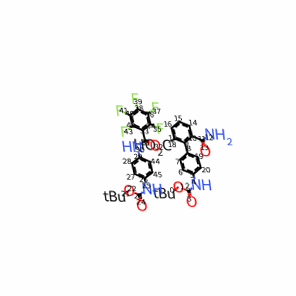 CC(C)(C)OC(=O)Nc1ccc(-c2c(C(N)=O)cccc2C(=O)O)cc1.CC(C)(C)OC(=O)Nc1ccc(NC(=O)c2c(F)c(F)c(F)c(F)c2F)cc1